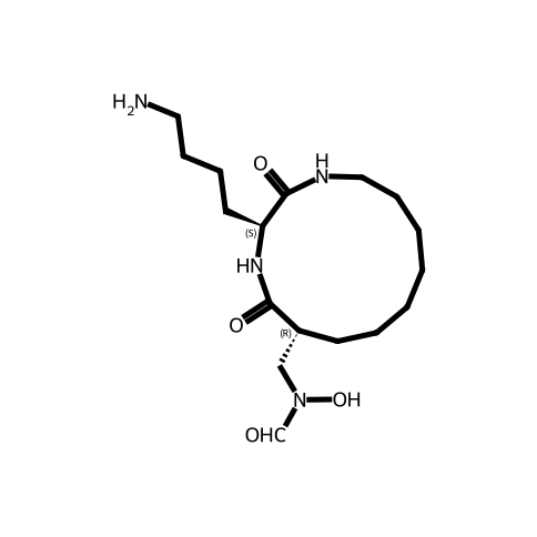 NCCCC[C@@H]1NC(=O)[C@@H](CN(O)C=O)CCCCCCCNC1=O